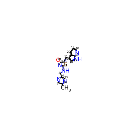 Cc1cnc(CNC2=NC(=O)/C(=C/c3c[nH]c4ncccc34)S2)cn1